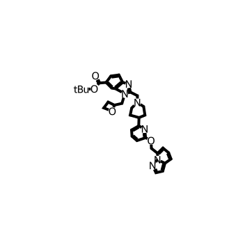 CC(C)(C)OC(=O)c1ccc2nc(CN3CCC(c4cccc(OCc5cccc6ccnn56)n4)CC3)n(CC3CCO3)c2c1